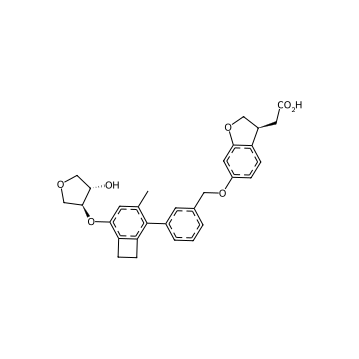 Cc1cc(O[C@H]2COC[C@@H]2O)c2c(c1-c1cccc(COc3ccc4c(c3)OC[C@H]4CC(=O)O)c1)CC2